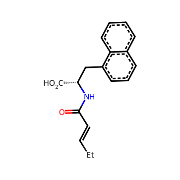 CCC=CC(=O)N[C@@H](Cc1cccc2ccccc12)C(=O)O